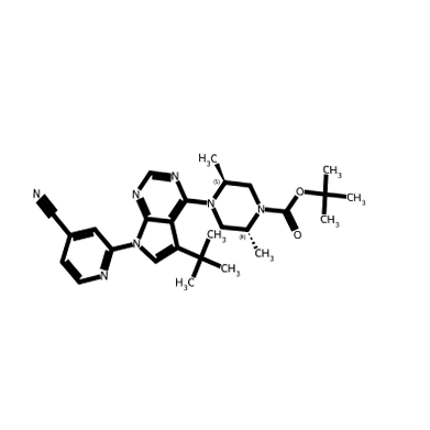 C[C@@H]1CN(c2ncnc3c2c(C(C)(C)C)cn3-c2cc(C#N)ccn2)[C@@H](C)CN1C(=O)OC(C)(C)C